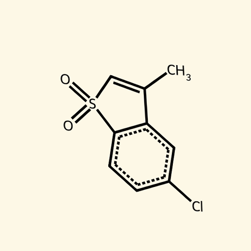 CC1=CS(=O)(=O)c2ccc(Cl)cc21